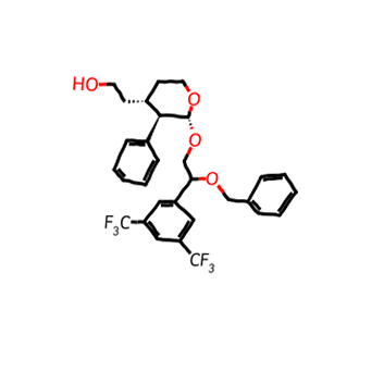 OCC[C@@H]1CCO[C@H](OCC(OCc2ccccc2)c2cc(C(F)(F)F)cc(C(F)(F)F)c2)[C@H]1c1ccccc1